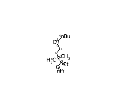 CCCCC1OC1CC[Si](C)(C)C(CC)OCCC